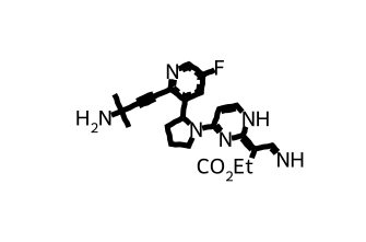 CCOC(=O)/C(C=N)=C1\N=C(N2CCCC2c2cc(F)cnc2C#CC(C)(C)N)C=CN1